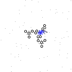 C=C/C=c1\c(=C/C)n(-c2nc(-c3cccc4c(-c5cccc(-c6c(C)c(-c7ccccc7)c(C)c(-c7ccccc7)c6C)c5)cccc34)nc(-c3cccc4c(-c5cccc(-c6c(C)c(-c7ccccc7)c(C)c(-c7ccccc7)c6C)c5)cccc34)n2)c2ccc3c(c12)C(C)(C)c1ccccc1-3